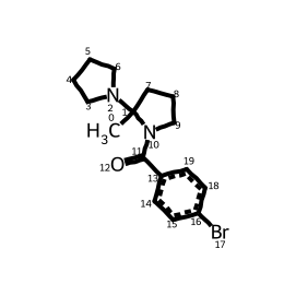 CC1(N2CCCC2)CCCN1C(=O)c1ccc(Br)cc1